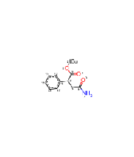 CC(C)(C)OC(=O)C(CC(N)=O)c1ccccc1